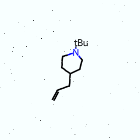 C=CCC1CCN(C(C)(C)C)CC1